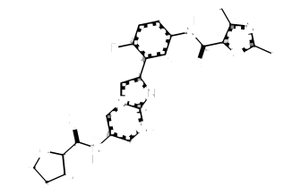 Cc1nc(C)c(C(=O)Nc2ccc(F)c(-c3cn4cc(NC(=O)C5CCCO5)cnc4n3)c2)o1